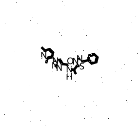 Cc1ccc(-n2cc(C(=O)NC(C)c3nnc(-c4ccccc4)s3)nn2)c(C)n1